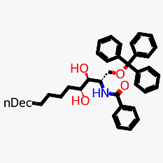 CCCCCCCCCCCCCC[C@@H](O)[C@@H](O)[C@H](COC(c1ccccc1)(c1ccccc1)c1ccccc1)NC(=O)c1ccccc1